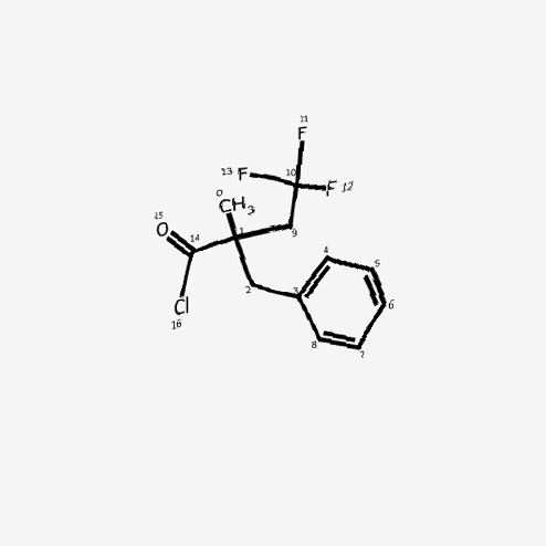 CC(Cc1ccccc1)(CC(F)(F)F)C(=O)Cl